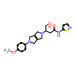 O=C(CC(CO)N1CC2=C(CN(c3ccc(OC(F)(F)F)cc3)C2)C1)Nc1ccns1